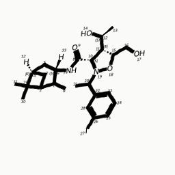 CC1C2C[C@H](C[C@@H]1NC(=O)[C@@H]1[C@H]([C@H](C)O)C(CO)ON1C(C)c1cccc(I)c1)C2(C)C